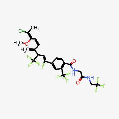 C=C(/C=C\C(OC)=C(/C)Cl)C(/C=C(\F)c1ccc(C(=O)NCC(=O)NCC(F)(F)F)c(C(F)(F)F)c1)C(F)(F)F